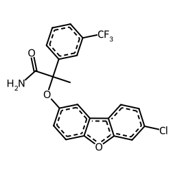 CC(Oc1ccc2oc3cc(Cl)ccc3c2c1)(C(N)=O)c1cccc(C(F)(F)F)c1